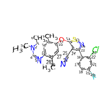 CCN(C)/C=N\c1cc(C)c(Oc2snc(-c3ccc(F)cc3Cl)c2C#N)cc1C